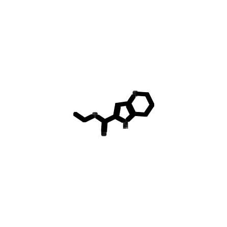 CCOC(=O)c1cc2c([nH]1)CCCO2